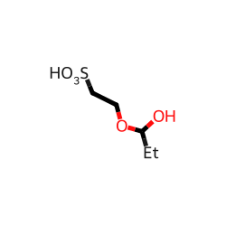 CCC(O)OCCS(=O)(=O)O